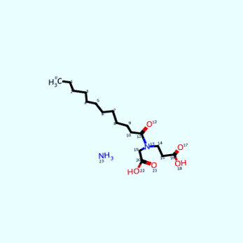 CCCCCCCCCCCC(=O)N(CCC(=O)O)CC(=O)O.N